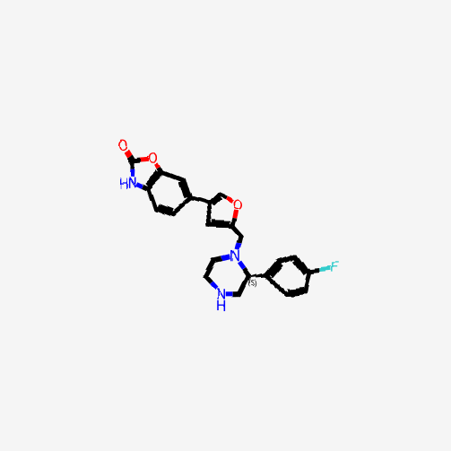 O=c1[nH]c2ccc(-c3coc(CN4CCNC[C@@H]4c4ccc(F)cc4)c3)cc2o1